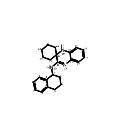 c1ccc2c(c1)CCCC2NC1=Nc2ccccc2NC12CCCCC2